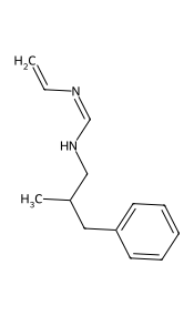 C=C/N=C\NCC(C)Cc1ccccc1